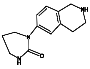 O=C1NCCCN1c1ccc2c(c1)CCNC2